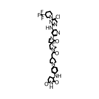 O=C1CCC(Nc2ccc(N3CCC(CC(=O)N4CCC5(CC4)CCN(c4cncc(Nc6ncc(Cl)c(N7CCC[C@H](C(F)(F)F)C7)n6)c4)C5=O)CC3)cc2)C(=O)N1